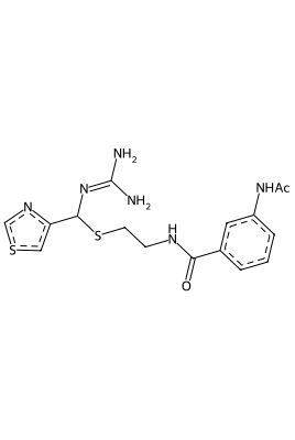 CC(=O)Nc1cccc(C(=O)NCCSC(N=C(N)N)c2cscn2)c1